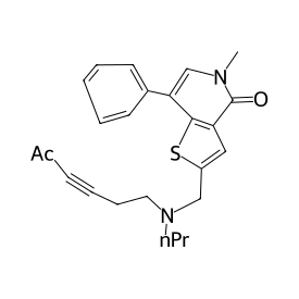 CCCN(CCC#CC(C)=O)Cc1cc2c(=O)n(C)cc(-c3ccccc3)c2s1